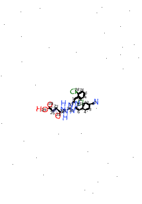 N#Cc1ccc(Cc2nc(Cc3c(Cl)cccc3Cl)nc(NNC(=O)/C=C/C(=O)O)n2)cc1